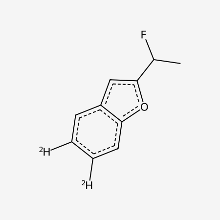 [2H]c1cc2cc(C(C)F)oc2cc1[2H]